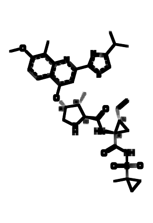 C=C[C@@H]1C[C@]1(NC(=O)[C@H]1NC[C@H](Oc2cc(-c3nc(C(C)C)cs3)nc3c(C)c(OC)ccc23)[C@@H]1C)C(=O)NS(=O)(=O)C1(C)CC1